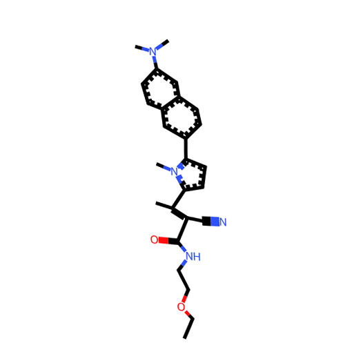 CCOCCNC(=O)/C(C#N)=C(\C)c1ccc(-c2ccc3cc(N(C)C)ccc3c2)n1C